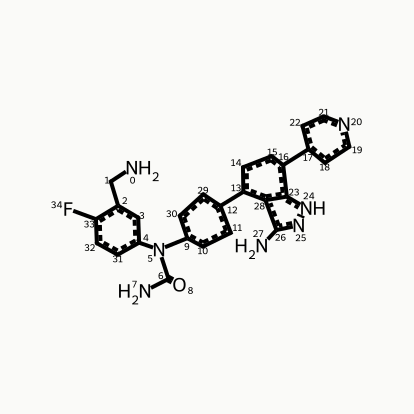 NCc1cc(N(C(N)=O)c2ccc(-c3ccc(-c4ccncc4)c4[nH]nc(N)c34)cc2)ccc1F